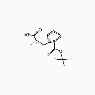 C[C@@H](Cc1ccccc1C(=O)OC(C)(C)C)C(=O)O